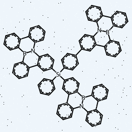 c1ccc([Si](c2ccc(-c3ccc4c(c3)-c3ccccc3B3c5ccccc5-c5ccccc5N34)cc2)(c2ccc3c(c2)-c2ccccc2N2B3c3ccccc3-c3ccccc32)c2ccc3c(c2)-c2ccccc2B2c4ccccc4-c4ccccc4N23)cc1